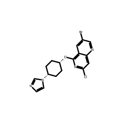 Clc1cc2ncc(Br)cc2c(O[C@H]2CC[C@@H](n3ccnc3)CC2)n1